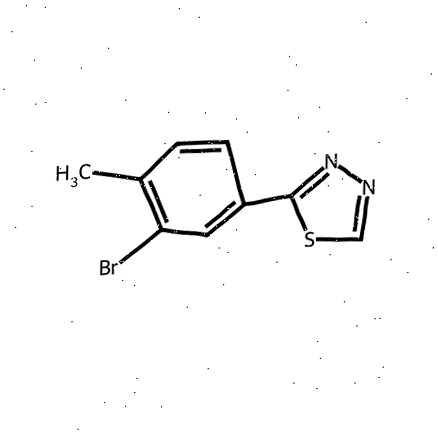 Cc1ccc(-c2nncs2)cc1Br